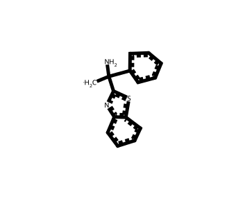 [CH2]C(N)(c1ccccc1)c1nc2ccccc2s1